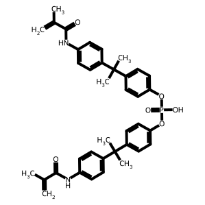 C=C(C)C(=O)Nc1ccc(C(C)(C)c2ccc(OP(=O)(O)Oc3ccc(C(C)(C)c4ccc(NC(=O)C(=C)C)cc4)cc3)cc2)cc1